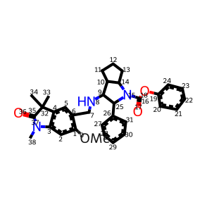 COc1cc2c(cc1CNC1C3CCCC3N(C(=O)Oc3ccccc3)C1c1ccccc1)C(C)(C)C(=O)N2C